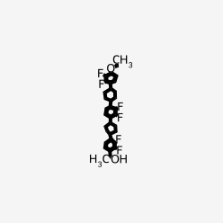 CCOc1ccc(C2CCC(c3ccc(C4CCC(c5ccc(C(C)O)c(F)c5F)CC4)c(F)c3F)CC2)c(F)c1F